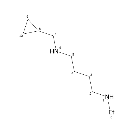 CCNCCCCNCC1CC1